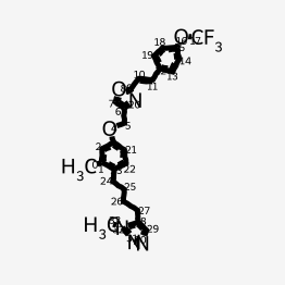 Cc1cc(OCc2coc(C=Cc3ccc(OC(F)(F)F)cc3)n2)ccc1CCCCc1cnnn1C